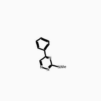 CNc1nncc(-c2ccccc2)n1